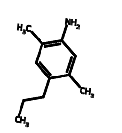 CCCc1cc(C)c(N)cc1C